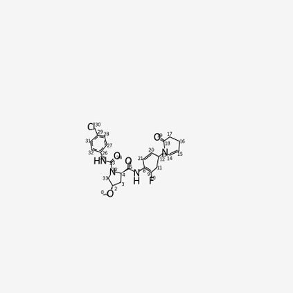 CO[C@@H]1C[C@H](C(=O)NC2=C(F)CC(N3C=CCCC3=O)C=C2)N(C(=O)Nc2ccc(Cl)cc2)C1